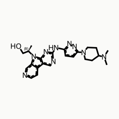 C[C@H](CO)n1c2cnccc2c2cnc(Nc3ccc(N4CCC(N(C)C)CC4)nn3)nc21